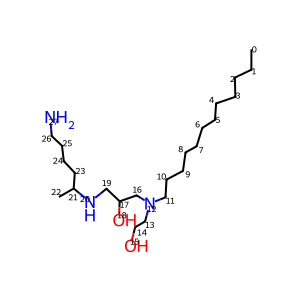 CCCCCCCCCCCCN(CCO)CC(O)CNC(C)CCCCN